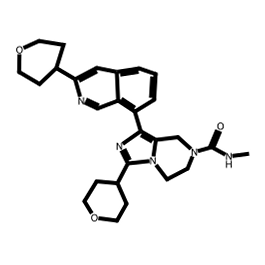 CNC(=O)N1CCn2c(C3CCOCC3)nc(-c3cccc4cc(C5CCOCC5)ncc34)c2C1